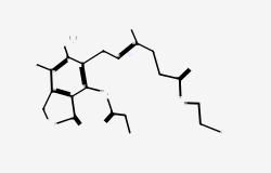 COc1c(C)c2c(c(NC(=O)CF)c1C/C=C(\C)CCC(=O)OCCC(C)C)C(=O)OC2